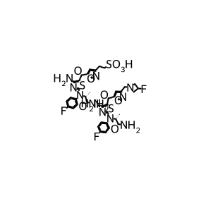 C[C@H](C(N)=O)N(c1ccc(F)cc1)c1nc(N)c(C(=O)c2cc(CCS(=O)(=O)O)no2)s1.C[C@H](C(N)=O)N(c1ccc(F)cc1)c1nc(N)c(C(=O)c2cc(CN3CC(F)C3)no2)s1